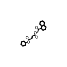 O=C(/C=C/C(=O)Oc1ccccc1)OCC(=O)c1cccc2ccccc12